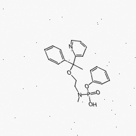 CN(CCOC(C)(c1ccccc1)c1ccccn1)P(=O)(O)Oc1ccccc1